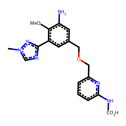 COc1c(N)cc(COCc2cccc(NC(=O)O)n2)cc1-c1ncn(C)n1